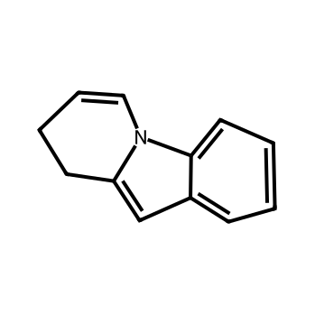 C1=Cn2c(cc3ccccc32)CC1